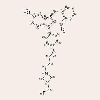 O=C(c1ccccc1F)c1sc2cc(O)ccc2c1-c1ccc(OCCCN2CC(CF)C2)cc1